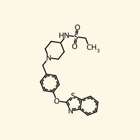 CCS(=O)(=O)NC1CCN(Cc2ccc(Oc3nc4ccccc4s3)cc2)CC1